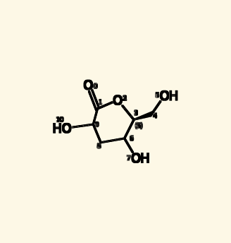 O=C1O[C@@H](CO)C(O)CC1O